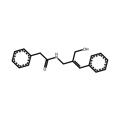 O=C(Cc1ccccc1)NCC(=Cc1ccccc1)CO